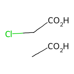 CC(=O)O.O=C(O)CCl